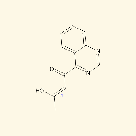 C/C(O)=C/C(=O)c1ncnc2ccccc12